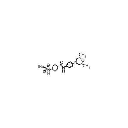 C[C@@H]1CN(c2ccc(NC(=O)[C@H]3CC[C@H](NS(=O)(=O)C(C)(C)C)CC3)cc2)C[C@H](C)O1